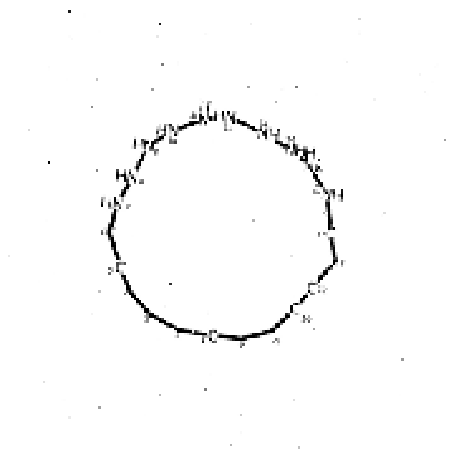 C1CCCCCCNNNNNNNNNNCCCCC1